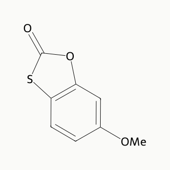 COc1ccc2sc(=O)oc2c1